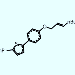 CCCCC=CCOc1ccc(-c2ccc(CCC)s2)cc1